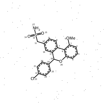 COc1cccc2c1-c1ccc(CS(N)(=O)=O)cc1C(c1ccc(Cl)cc1)O2